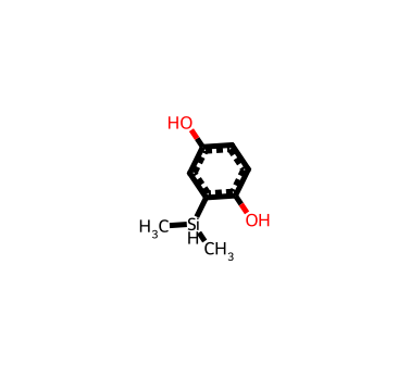 C[SiH](C)c1cc(O)ccc1O